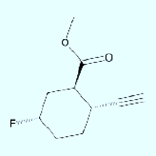 C#C[C@@H]1CC[C@H](F)C[C@H]1C(=O)OC